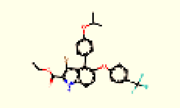 CCOC(=O)c1[nH]c2ccc(Oc3ccc(C(F)(F)F)cc3)c(-c3ccc(OC(C)C)cc3)c2c1Br